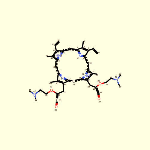 C=CC1=C(C)c2cc3[nH]c(cc4nc(cc5[nH]c(cc1n2)c(C)c5CC(=C=O)OCCN(C)C)C(CC(=C=O)OCCN(C)C)=C4C)c(C)c3C=C